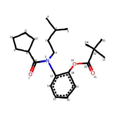 CC(C)CCN(C(=O)C1CCCC1)c1ccccc1OC(=O)C(C)(C)C